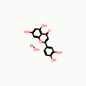 CCO.O=c1cc(-c2ccc(O)c(O)c2)oc2cc(O)cc(O)c12